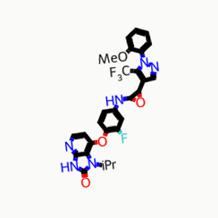 COc1ccccc1-n1ncc(C2OC2Nc2ccc(Oc3ccnc4[nH]c(=O)n(C(C)C)c34)c(F)c2)c1C(F)(F)F